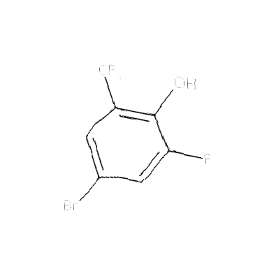 Oc1c(F)cc(Br)cc1C(F)(F)F